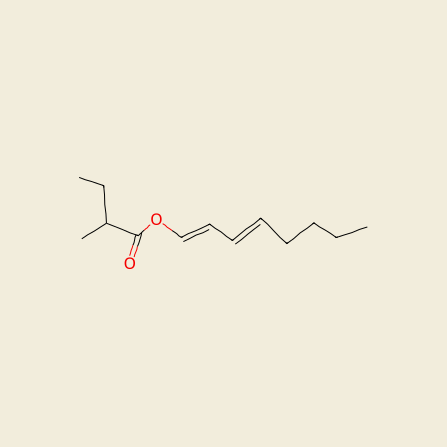 CCCCC=CC=COC(=O)C(C)CC